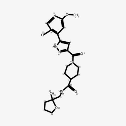 COc1cc(-c2cc(C(=O)N3CCC(C(=O)NCC4(C)CCCO4)CC3)n[nH]2)c(Cl)cn1